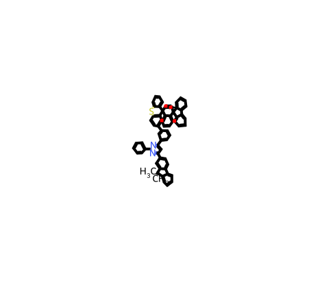 CC1(C)c2ccccc2-c2ccc(-c3cc(-c4cccc(-c5ccc6c(c5)C5(c7ccccc7S6)c6ccccc6C6(c7ccccc7-c7ccccc76)c6ccccc65)c4)nc(-c4ccccc4)n3)cc21